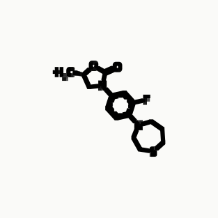 [CH2][C@@H]1CN(c2ccc(N3CCCSCC3)c(F)c2)C(=O)O1